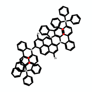 CC(C)c1cc(N(c2ccccc2-c2ccc([Si](c3ccccc3)(c3ccccc3)c3ccccc3)cc2)c2cccc3c2oc2ccccc23)c2ccc3c(C(C)C)cc(N(c4ccccc4-c4ccc([Si](c5ccccc5)(c5ccccc5)c5ccccc5)cc4)c4cccc5c4oc4ccccc45)c4ccc1c2c34